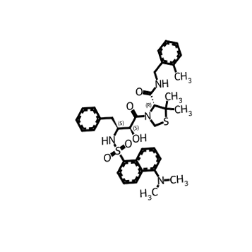 Cc1ccccc1CNC(=O)[C@H]1N(C(=O)[C@@H](O)[C@H](Cc2ccccc2)NS(=O)(=O)c2cccc3c(N(C)C)cccc23)CSC1(C)C